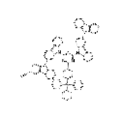 N#Cc1ccc2c(c1)c1ccccc1n2-c1ccc2c3ccccc3n(-c3nc(-c4ccc([Si](c5ccccc5)(c5ccccc5)c5ccccc5)cc4)nc(-n4c5ccccc5c5cc(-n6c7ccccc7c7ccccc76)ccc54)n3)c2c1